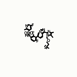 Cc1ncc(F)cc1S(=O)(=O)Nc1ccc(F)c(-c2ccc3c(-c4nc(C)c(C)n4COCC[Si](C)(C)C)ncn3c2)c1F